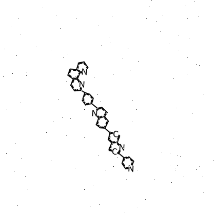 c1cnc2c(c1)ccc1ccc(-c3ccc(-c4ccc5cc(-c6ccc7nc(-c8ccncc8)ccc7c6)ccc5n4)cc3)nc12